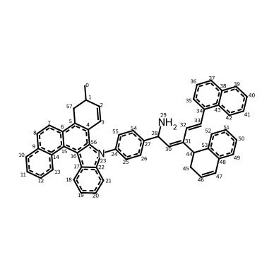 CC1C=Cc2c(c3ccc4ccccc4c3c3c4ccccc4n(-c4ccc(C(N)/C=C(\C=C\c5cccc6ccccc56)C5CC=Cc6ccccc65)cc4)c23)C1